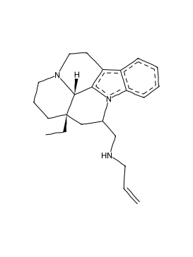 C=CCNCC1C[C@]2(CC)CCCN3CCc4c(n1c1ccccc41)[C@@H]32